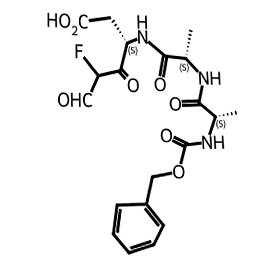 C[C@H](NC(=O)OCc1ccccc1)C(=O)N[C@@H](C)C(=O)N[C@@H](CC(=O)O)C(=O)C(F)C=O